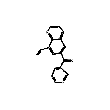 C=Cc1cc(C(=O)c2cncnc2)cc2cccnc12